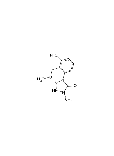 COCc1c(C)cccc1N1NNN(C)C1=O